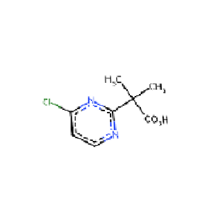 CC(C)(C(=O)O)c1nccc(Cl)n1